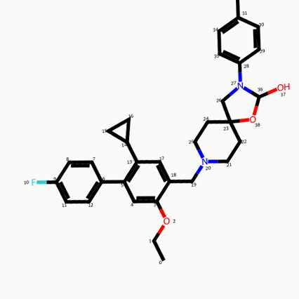 CCOc1cc(-c2ccc(F)cc2)c(C2CC2)cc1CN1CCC2(CC1)CN(c1ccc(CO)cc1)C(O)O2